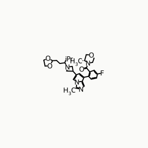 Cc1ncc2c(-c3ccc(F)cc3C(=O)N3CCOC[C@H]3C)cc(C3CN(C(CCC4OCCO4)C(C)C)C3)cn12